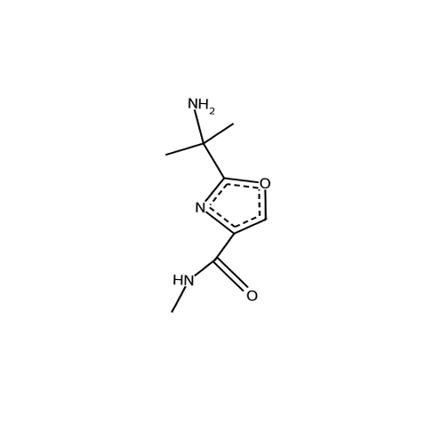 CNC(=O)c1coc(C(C)(C)N)n1